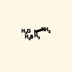 B.NN.O